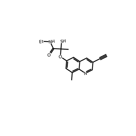 C#Cc1cnc2c(C)cc(OC(C)(S)C(=O)NCC)cc2c1